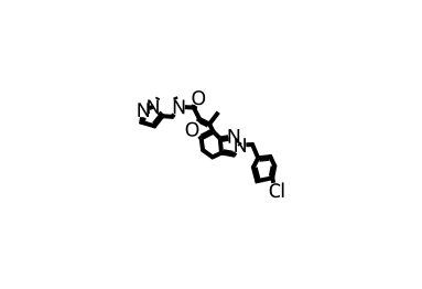 Cc1c(C(=O)N(C)Cc2ccnn2C)oc2c1-c1nn(Cc3ccc(Cl)cc3)cc1CC2